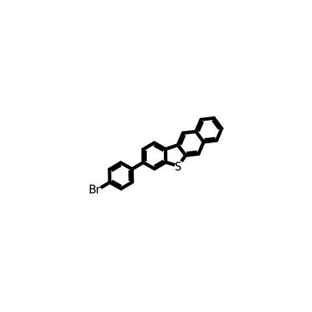 Brc1ccc(-c2ccc3c(c2)sc2cc4ccccc4cc23)cc1